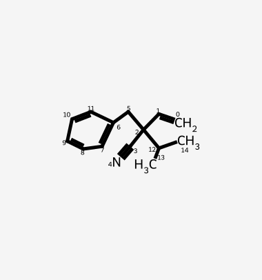 C=CC(C#N)(Cc1ccccc1)C(C)C